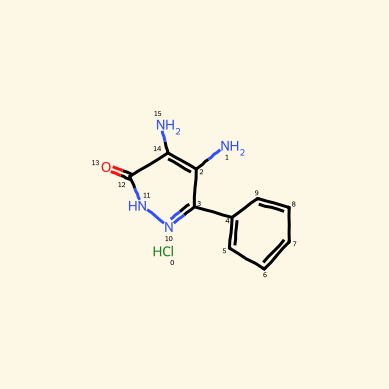 Cl.Nc1c(-c2ccccc2)n[nH]c(=O)c1N